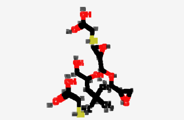 C(OCC1CO1)C1CO1.CC(C)(C)CC(O)CO.O=C(O)CS.O=C(O)CS